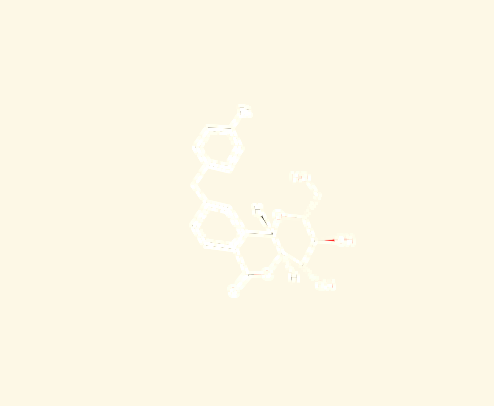 CCc1ccc(Cc2ccc3c(c2)[C@@H]2O[C@H](CO)[C@@H](O)[C@H](O)[C@H]2OC3=O)cc1